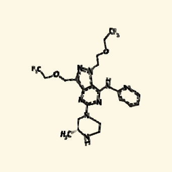 C[C@@H]1CN(c2nc(Nc3ccccn3)c3c(n2)c(COCC(F)(F)F)nn3CCOCC(F)(F)F)CCN1